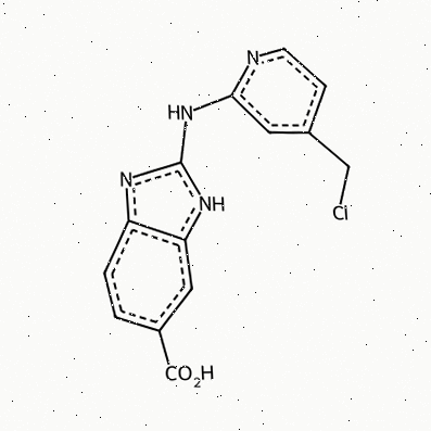 O=C(O)c1ccc2nc(Nc3cc(CCl)ccn3)[nH]c2c1